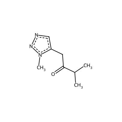 CC(C)C(=O)Cc1cnnn1C